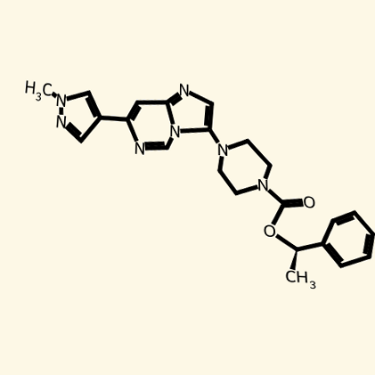 C[C@@H](OC(=O)N1CCN(c2cnc3cc(-c4cnn(C)c4)ncn23)CC1)c1ccccc1